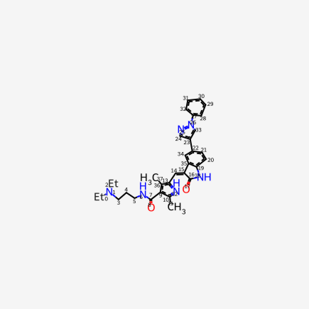 CCN(CC)CCCNC(=O)c1c(C)[nH]c(/C=C2\C(=O)Nc3ccc(-c4cnn(-c5ccccc5)c4)cc32)c1C